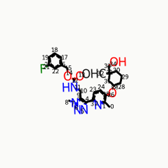 Cc1nc(-c2nnn(C)c2CNC(=O)OCc2cccc(F)c2)ccc1O[C@H]1CCCC(C=O)(CO)C1